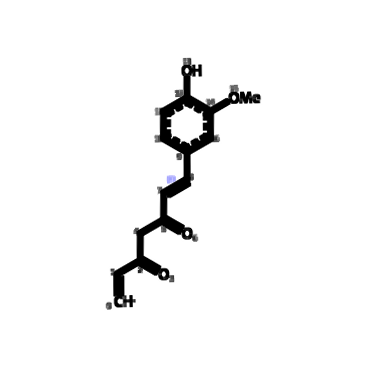 [CH]=CC(=O)CC(=O)/C=C/c1ccc(O)c(OC)c1